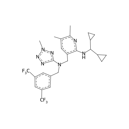 Cc1cc(CN(Cc2cc(C(F)(F)F)cc(C(F)(F)F)c2)c2nnn(C)n2)c(NC(C2CC2)C2CC2)nc1C